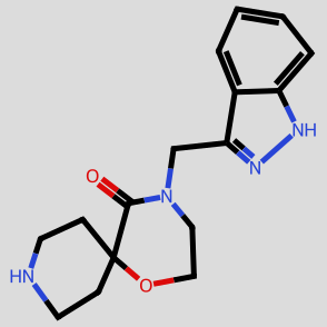 O=C1N(Cc2n[nH]c3ccccc23)CCOC12CCNCC2